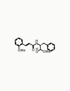 COc1ccccc1/C=C/C(=O)N[C@@H](Cc1ccccc1)C(O)OC